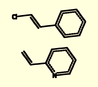 C=Cc1ccccn1.ClC=Cc1ccccc1